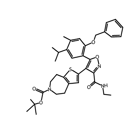 CCNC(=O)c1noc(-c2cc(C(C)C)c(C)cc2OCc2ccccc2)c1-c1cc2c(s1)CCN(C(=O)OC(C)(C)C)CC2